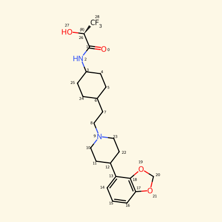 O=C(NC1CCC(CCN2CCC(c3cccc4c3OCO4)CC2)CC1)[C@@H](O)C(F)(F)F